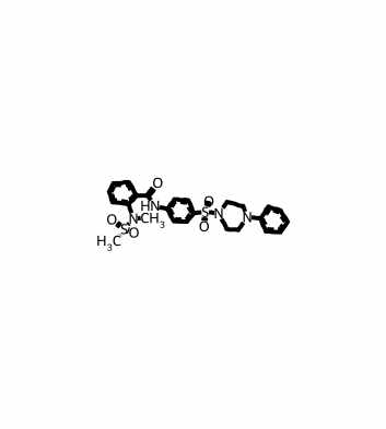 CN(c1ccccc1C(=O)Nc1ccc(S(=O)(=O)N2CCN(c3ccccc3)CC2)cc1)S(C)(=O)=O